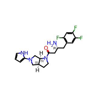 N[C@@H](CC(=O)N1CC[C@H]2CN(c3ccc[nH]3)C[C@H]21)Cc1cc(F)c(F)cc1F